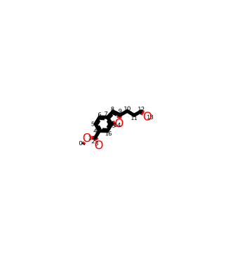 COC(=O)c1ccc2cc(CCC=O)oc2c1